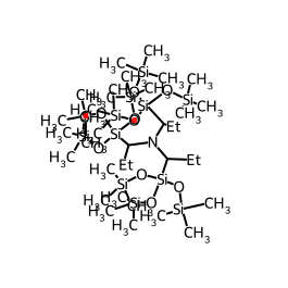 CCC(N(C(CC)[Si](O[Si](C)(C)C)(O[Si](C)(C)C)O[Si](C)(C)C)C(CC)[Si](O[Si](C)(C)C)(O[Si](C)(C)C)O[Si](C)(C)C)[Si](O[Si](C)(C)C)(O[Si](C)(C)C)O[Si](C)(C)C